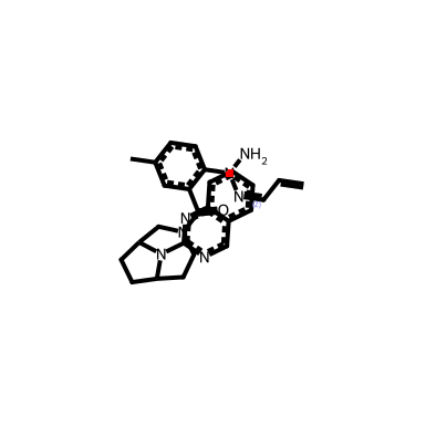 C=C/C=N\N(N)c1ccc(C)cc1C(=O)N1CCC2CCC(C1)N2c1ncc2ccccc2n1